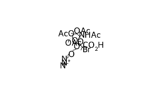 CC(=O)N[C@H]1[C@H](O[C@@H](OCCOCCN=[N+]=[N-])C(C)(Br)C(=O)O)O[C@H](COC(C)=O)[C@@H](OC(C)=O)[C@@H]1OC(C)=O